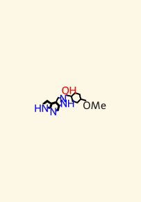 COCC1CCC(C(O)N2Cc3c(cnc4[nH]ccc34)N2)CC1